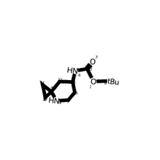 CC(C)(C)OC(=O)NC1CCNC2(CC2)C1